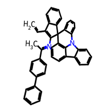 C=CC1=C(/N=C(\C)c2ccc(-c3ccccc3)cc2)C2(c3ccccc31)c1ccccc1-n1c3ccccc3c3cccc2c31